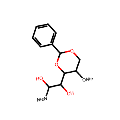 CNC(O)C(O)C1OC(c2ccccc2)OCC1OC